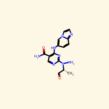 C[C@H](C=O)N(N)c1ncc(C(N)=O)c(Nc2ccc3nccn3c2)n1